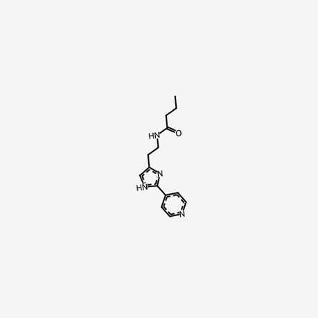 CCCC(=O)NCCc1c[nH]c(-c2ccncc2)n1